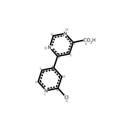 O=C(O)c1cc(-c2ccnc(Cl)c2)ncn1